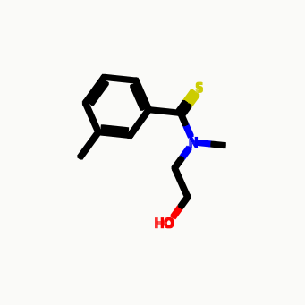 Cc1cccc(C(=S)N(C)CCO)c1